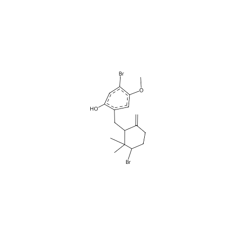 C=C1CCC(Br)C(C)(C)C1Cc1cc(OC)c(Br)cc1O